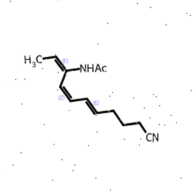 C\C=C(/C=C\C=C\CCCC#N)NC(C)=O